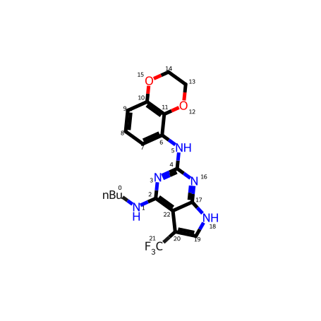 CCCCNc1nc(Nc2cc[c]c3c2OCCO3)nc2[nH]cc(C(F)(F)F)c12